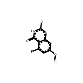 CCOc1cc(F)c2c(=O)[nH]c(Cl)nc2c1